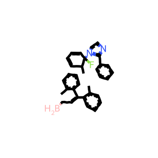 BCC=C(c1ccccc1C)c1ccccc1C.CC1C=CC=CC1(F)n1ccnc1-c1ccccc1